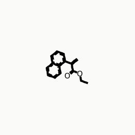 C=C(C(=O)OCC)c1cccc2ccccc12